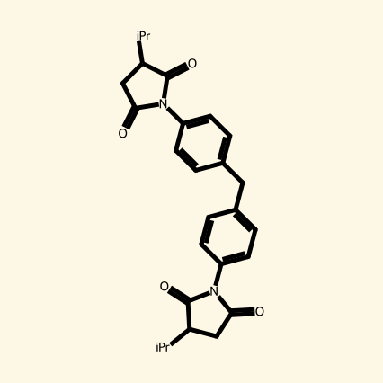 CC(C)C1CC(=O)N(c2ccc(Cc3ccc(N4C(=O)CC(C(C)C)C4=O)cc3)cc2)C1=O